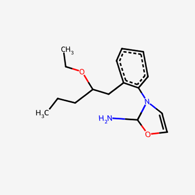 CCCC(Cc1ccccc1N1C=COC1N)OCC